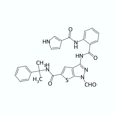 CC(C)(NC(=O)c1cc2c(NC(=O)c3ccccc3NC(=O)c3cc[nH]c3)nn([C]=O)c2s1)c1ccccc1